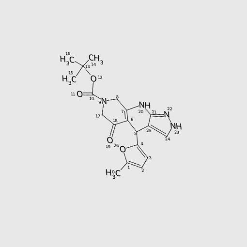 Cc1ccc(C2C3=C(CN(C(=O)OC(C)(C)C)CC3=O)Nc3n[nH]cc32)o1